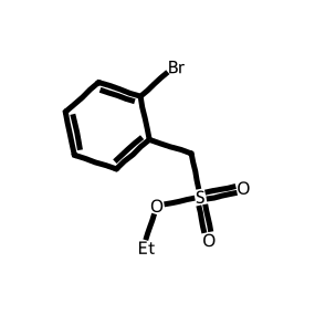 CCOS(=O)(=O)Cc1ccccc1Br